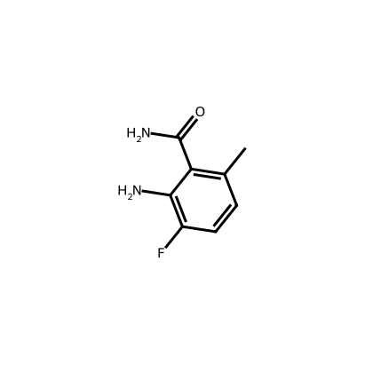 Cc1ccc(F)c(N)c1C(N)=O